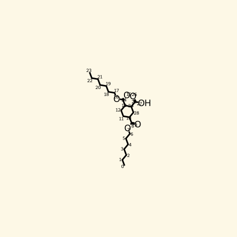 CCCCCCCOC(=O)C1CCC(C(=O)OCCCCCCC)C(C(=O)O)C1